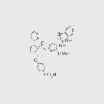 COc1cc(CC(=O)N2[C@H](COc3ccc(C(=O)O)cc3)CC[C@@H]2c2ccccc2)ccc1NC(=O)Nc1ccccc1Br